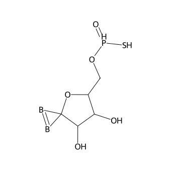 O=[PH](S)OCC1OC2(B=B2)C(O)C1O